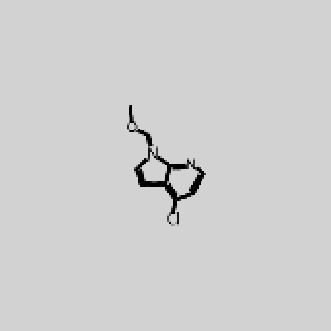 COCn1ccc2c(Cl)ccnc21